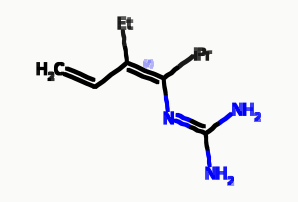 C=C/C(CC)=C(\N=C(N)N)C(C)C